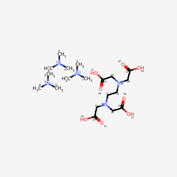 CN(C)C.CN(C)C.CN(C)C.O=C(O)CN(CCN(CC(=O)O)CC(=O)O)CC(=O)O